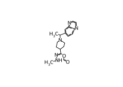 CN/N=C(\OC=O)C1CCN(C(C)c2ccc3nccnc3c2)CC1